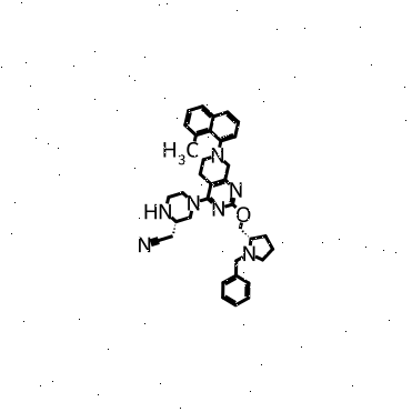 Cc1cccc2cccc(N3CCc4c(nc(OC[C@@H]5CCCN5Cc5ccccc5)nc4N4CCN[C@@H](CC#N)C4)C3)c12